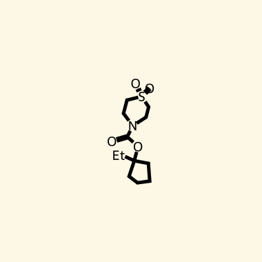 CCC1(OC(=O)N2CCS(=O)(=O)CC2)CCCC1